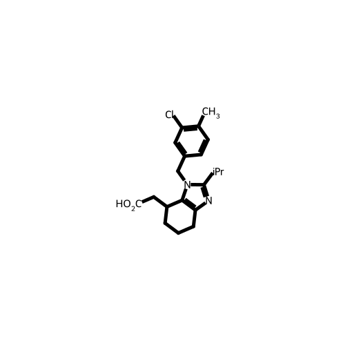 Cc1ccc(Cn2c(C(C)C)nc3c2C(CC(=O)O)CCC3)cc1Cl